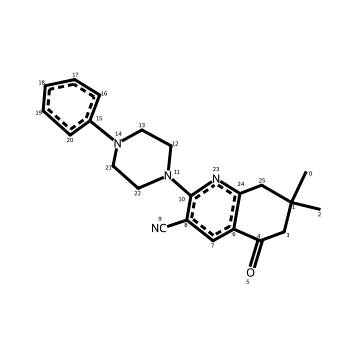 CC1(C)CC(=O)c2cc(C#N)c(N3CCN(c4ccccc4)CC3)nc2C1